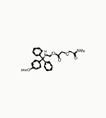 CNC(=O)COCC(=O)OCNC(c1ccccc1)(c1ccccc1)c1ccc(OC)cc1